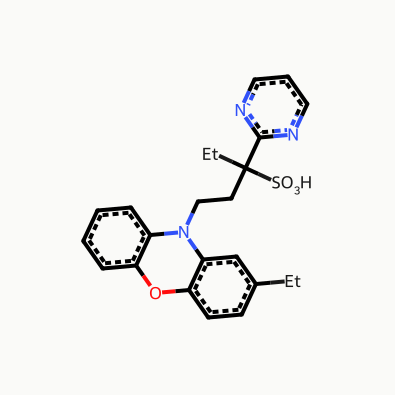 CCc1ccc2c(c1)N(CCC(CC)(c1ncccn1)S(=O)(=O)O)c1ccccc1O2